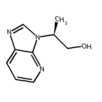 C[C@@H](CO)n1cnc2cccnc21